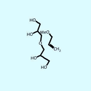 C=CCOC.OCC(O)COCC(O)CO